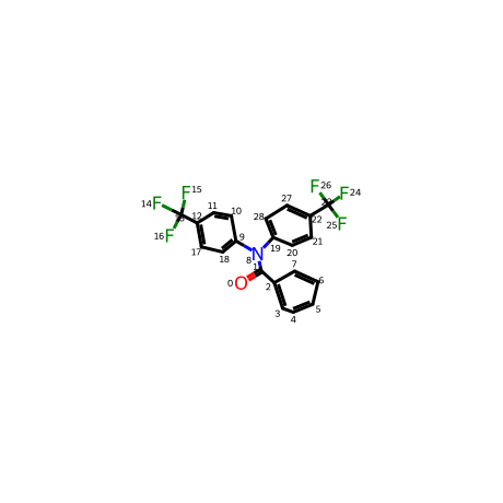 O=C(c1ccccc1)N(c1ccc(C(F)(F)F)cc1)c1ccc(C(F)(F)F)cc1